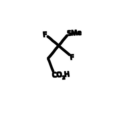 CSC(F)(F)CC(=O)O